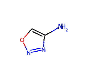 Nc1conn1